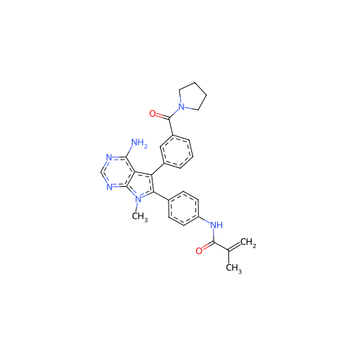 C=C(C)C(=O)Nc1ccc(-c2c(-c3cccc(C(=O)N4CCCC4)c3)c3c(N)ncnc3n2C)cc1